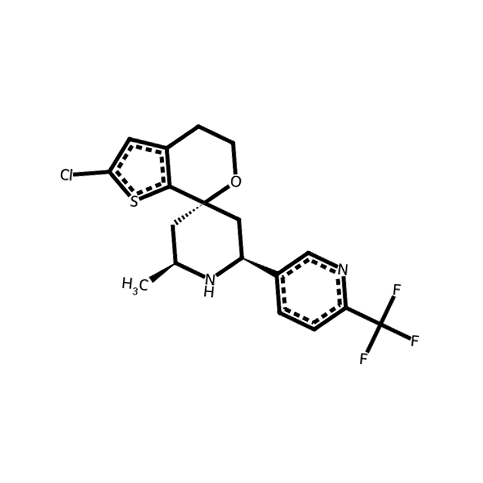 C[C@H]1C[C@@]2(C[C@@H](c3ccc(C(F)(F)F)nc3)N1)OCCc1cc(Cl)sc12